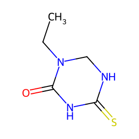 CCN1CNC(=S)NC1=O